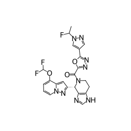 CC(F)n1cc(-c2nnc(C(=O)N3CCc4[nH]cnc4[C@@H]3c3cc4c(OC(F)F)cccn4n3)o2)cn1